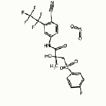 CC(O)(CS(=O)(=O)c1ccc(F)cc1)C(=O)Nc1ccc(C#N)c(C(F)(F)C(F)(F)F)c1.O=S=O